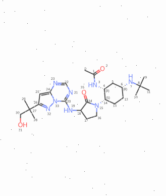 CC(=O)N[C@@H]1C[C@H](NC(C)(C)C)CC[C@@H]1N1CCC(Nc2ncnc3cc(C(C)(C)CO)nn23)C1=O